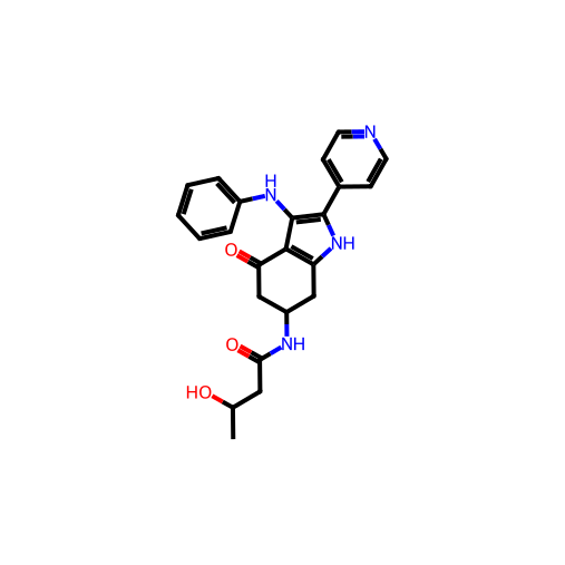 CC(O)CC(=O)NC1CC(=O)c2c([nH]c(-c3ccncc3)c2Nc2ccccc2)C1